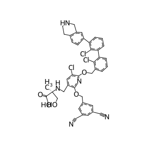 C[C@@](CO)(NCc1cc(Cl)c(OCc2cccc(-c3cccc(-c4ccc5c(c4)CNCC5)c3Cl)c2Cl)nc1OCc1cc(C#N)cc(C#N)c1)C(=O)O